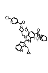 COc1cc(C(=O)N2CC3CCC2[C@@H]3N)cc2nc(-c3cc4cccnc4n3CC3CC3)n(CC3CN(C(=O)c4ccc(Cl)nc4)C3)c12